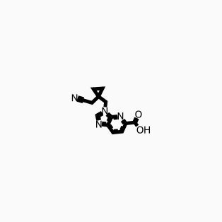 N#CCC1(Cn2cnc3ccc(C(=O)O)nc32)CC1